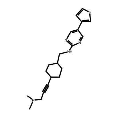 CN(C)CC#CC1CCC(CNc2ncc(-c3ccsc3)cn2)CC1